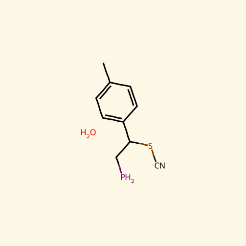 Cc1ccc(C(CP)SC#N)cc1.O